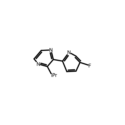 CC(C)c1nccnc1-c1ccc(F)cn1